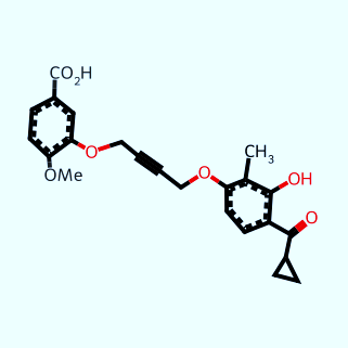 COc1ccc(C(=O)O)cc1OCC#CCOc1ccc(C(=O)C2CC2)c(O)c1C